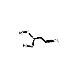 C=CCN(SS)SS